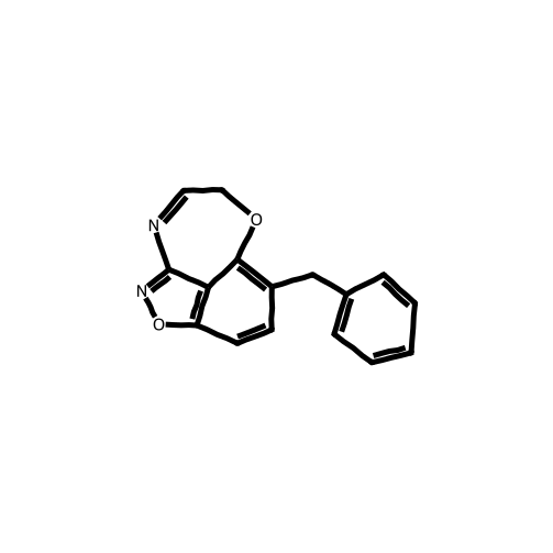 C1=Nc2noc3ccc(Cc4ccccc4)c(c23)OC1